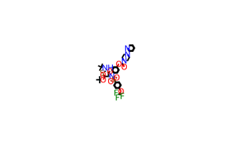 CC1(C)CS[C@@H](C(=O)[C@](C)(C(=O)OC(C)(C)C)N(c2ccc(OC(=O)N3CCN(c4ccccn4)CC3)cc2)S(=O)(=O)c2ccc(OC(F)(F)F)cc2)N1